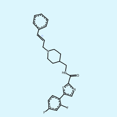 O=C(NCC1CCN(C/C=C/c2ccccc2)CC1)c1ncc(-c2ccc(F)cc2F)s1